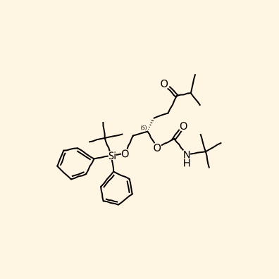 CC(C)C(=O)CC[C@@H](CO[Si](c1ccccc1)(c1ccccc1)C(C)(C)C)OC(=O)NC(C)(C)C